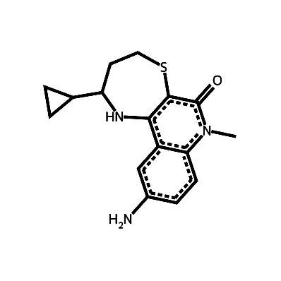 Cn1c(=O)c2c(c3cc(N)ccc31)NC(C1CC1)CCS2